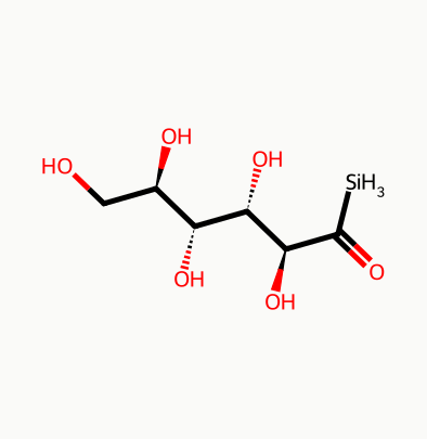 O=C([SiH3])[C@@H](O)[C@@H](O)[C@H](O)[C@H](O)CO